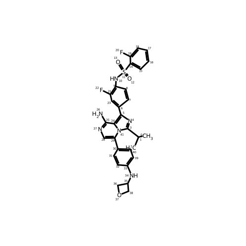 CC(C)c1nc(-c2ccc(NS(=O)(=O)c3ccccc3F)c(F)c2)c2c(N)ncc(-c3ccc(NC4COC4)cc3)n12